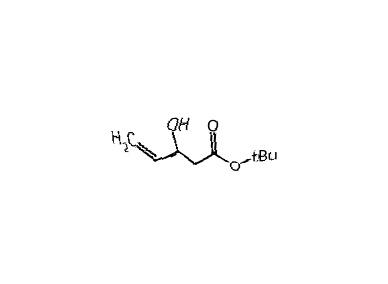 C=CC(O)CC(=O)OC(C)(C)C